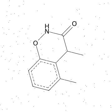 Cc1cccc2c1C(C)C(=O)NO2